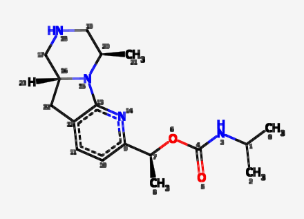 CC(C)NC(=O)O[C@@H](C)c1ccc2c(n1)N1[C@@H](CNC[C@H]1C)C2